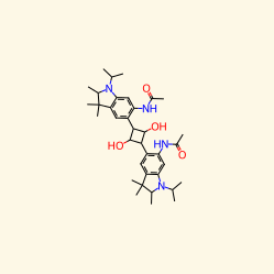 CC(=O)Nc1cc2c(cc1C1C(O)C(c3cc4c(cc3NC(C)=O)N(C(C)C)C(C)C4(C)C)C1O)C(C)(C)C(C)N2C(C)C